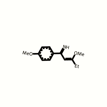 CC/C(=C/C(=N)c1ccc(OC)cc1)OC